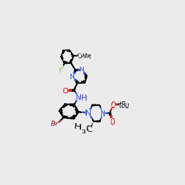 COc1cccc(F)c1-c1nccc(C(=O)Nc2ccc(Br)cc2N2CCN(C(=O)OC(C)(C)C)C[C@@H]2C)n1